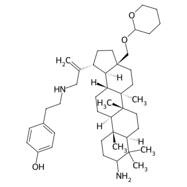 C=C(CNCCc1ccc(O)cc1)[C@@H]1CC[C@]2(COC3CCCCO3)CC[C@]3(C)[C@H](CC[C@@H]4[C@@]5(C)CCC(N)C(C)(C)[C@@H]5CC[C@]43C)[C@@H]12